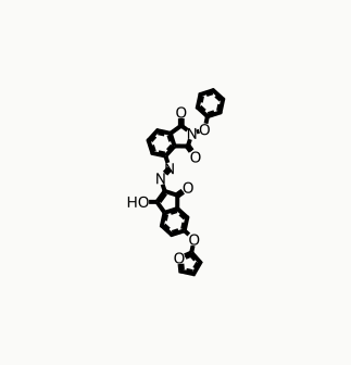 O=C1C(N=Nc2cccc3c2C(=O)N(Oc2ccccc2)C3=O)=C(O)c2ccc(Oc3ccco3)cc21